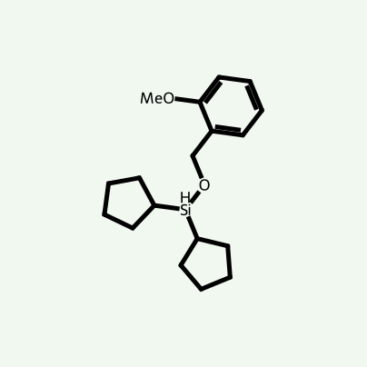 COc1ccccc1CO[SiH](C1CCCC1)C1CCCC1